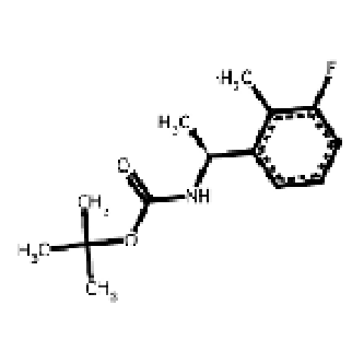 [CH2]c1c(F)cccc1[C@H](C)NC(=O)OC(C)(C)C